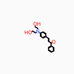 O=C(C=Cc1ccc(N(CCO)CCO)cc1)c1ccccc1